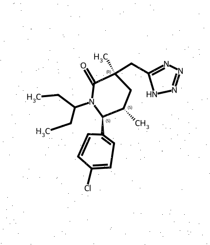 CCC(CC)N1C(=O)[C@@](C)(Cc2nnn[nH]2)C[C@H](C)[C@H]1c1ccc(Cl)cc1